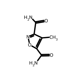 Cc1c(C(N)=O)noc1C(N)=O